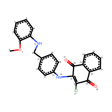 COc1ccccc1NCc1ccc(NC2=C(Cl)C(=O)c3ccccc3C2=O)cc1